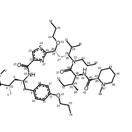 C=C(OC)[C@@H](C)C[C@H](Cc1ccc(OCCC)cc1)NC(=O)c1csc([C@@H](C[C@H](C(C)C)N(CCC)C(=O)[C@@H](NC(=O)[C@H]2CCCCN2C)[C@@H](C)CC)OCCC)n1